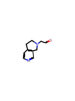 O=CCN1CCc2ccncc2C1